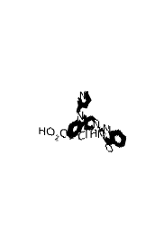 O=C(O)c1cc(Cl)c2c(c1)N(Cc1cccnc1)CC21CCN(c2nc3c(c(=O)[nH]2)CCCC3)CC1